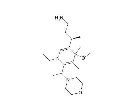 CCN1C=C([C@H](C)CCN)C(C)(OC)C(C)=C1C(C)N1CCOCC1